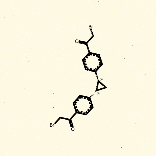 O=C(CBr)c1ccc([C@H]2C[C@@H]2c2ccc(C(=O)CBr)cc2)cc1